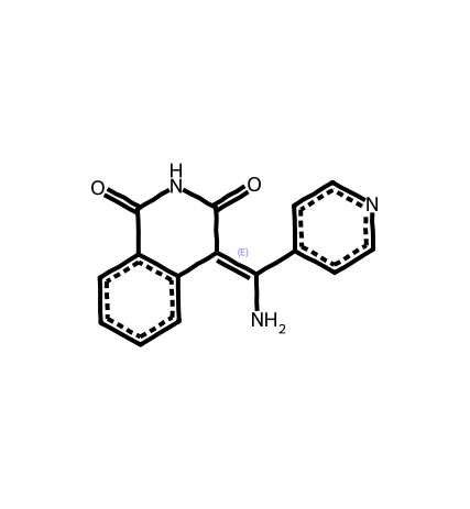 N/C(=C1/C(=O)NC(=O)c2ccccc21)c1ccncc1